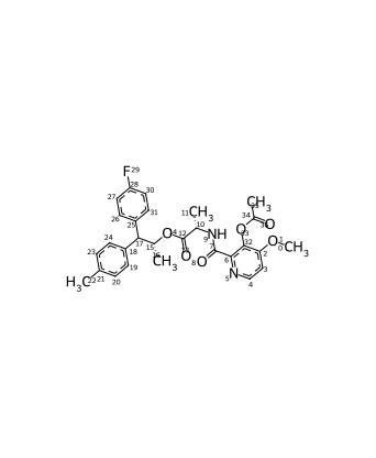 COc1ccnc(C(=O)N[C@@H](C)C(=O)O[C@H](C)C(c2ccc(C)cc2)c2ccc(F)cc2)c1OC(C)=O